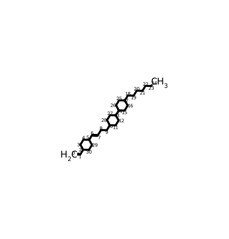 C=CC1CCC(C=CCCC2CCC(C3CCC(CCCCCCC)CC3)CC2)CC1